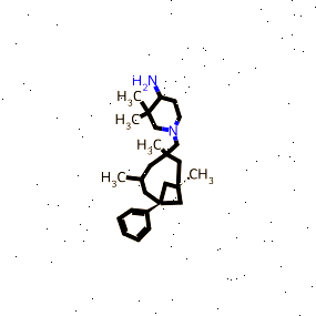 CC1CC(C)(CN2CCC(N)C(C)(C)C2)C[C@]2(C)C[C@@](c3ccccc3)(C1)C2